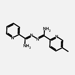 Cc1ccc(/C(N)=N/N=C(\N)c2ccccn2)nc1